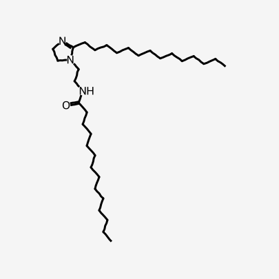 CCCCCCCCCCCCCCC1=NCCN1CCNC(=O)CCCCCCCCCCCCC